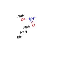 O=[NH+][O-].[NaH].[NaH].[NaH].[Rh]